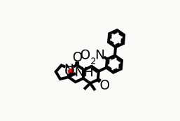 CC1(C)C(=O)C(c2cccc(-c3ccccc3)c2[N+](=O)[O-])=CC23NC(=O)C4(CCCN4C2=O)CC13